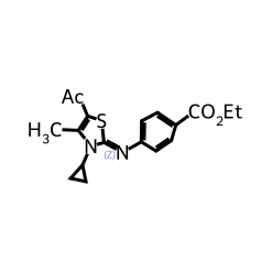 CCOC(=O)c1ccc(/N=c2\sc(C(C)=O)c(C)n2C2CC2)cc1